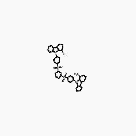 Cc1cccc2c3ccccc3n(-c3ccc(S(=O)(=O)c4cncc(S(=O)(=O)c5ccc(-n6c7ccccc7c7cccc(C)c76)cc5)c4)cc3)c12